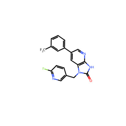 O=c1[nH]c2ncc(-c3cccc(C(F)(F)F)c3)cc2n1Cc1ccc(F)nc1